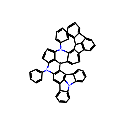 c1ccc(N2c3cccc4c3B(c3ccc5c(c3N4c3ccccc3)C3c4ccccc4-c4cccc-5c43)c3c2cc2c4ccccc4n4c5ccccc5c3c24)cc1